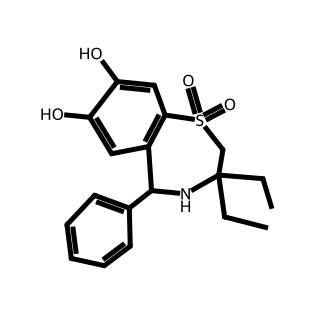 CCC1(CC)CS(=O)(=O)c2cc(O)c(O)cc2C(c2ccccc2)N1